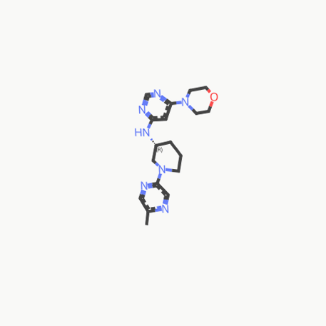 Cc1cnc(N2CCC[C@@H](Nc3cc(N4CCOCC4)ncn3)C2)cn1